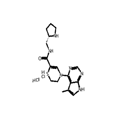 Cc1c[nH]c2ncnc(N3C=C(C(=O)NC[C@@H]4CCCN4)SCC3)c12.Cl.Cl